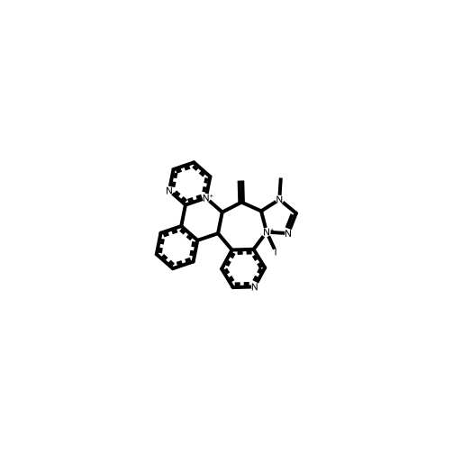 C=C1C2C(c3ccccc3-c3nccc[n+]32)c2ccncc2[N+]2(I)N=CN(C)C12